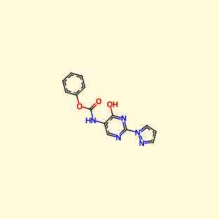 O=C(Nc1cnc(-n2cccn2)nc1O)Oc1ccccc1